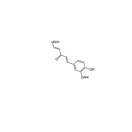 CCCCCCCCCC=CC(=O)C=Cc1ccc(O)c(OC)c1